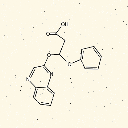 O=C(O)CC(Oc1ccccc1)Oc1cnc2ccccc2n1